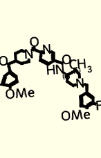 COc1ccc(C(=O)C2CCN(C(=O)c3ccc(C(=O)N[C@@H]4CCN(Cc5ccc(OC)c(F)c5)C[C@@H]4C)cn3)CC2)cc1